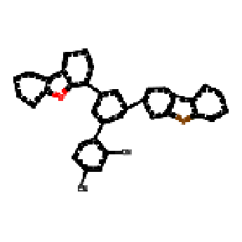 N#Cc1ccc(-c2cc(-c3ccc4c(c3)sc3ccccc34)cc(-c3cccc4c3oc3ccccc34)c2)c(C#N)c1